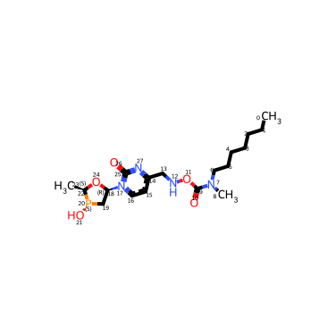 CCCCCCCN(C)C(=O)ONCc1ccn([C@H]2C[P@@](O)[C@@H](C)O2)c(=O)n1